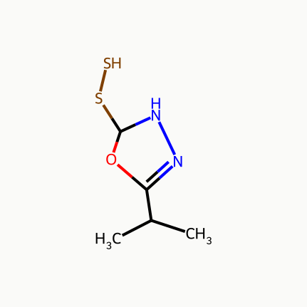 CC(C)C1=NNC(SS)O1